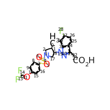 C[C@@H]1CN(S(=O)(=O)c2ccc(OC(F)F)cc2)C[C@@H]1n1nc(CC(=O)O)c2ccc(F)cc21